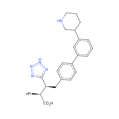 CCC[C@H](C(=O)O)[C@H](Cc1ccc(-c2cccc(C3CCCNC3)c2)cc1)c1nn[nH]n1